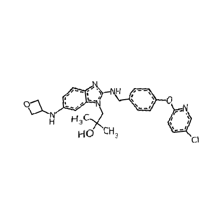 CC(C)(O)Cn1c(NCc2ccc(Oc3ccc(Cl)cn3)cc2)nc2ccc(NC3COC3)cc21